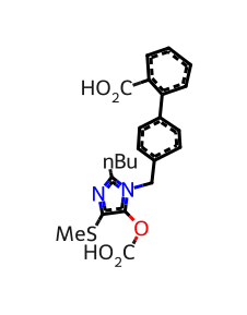 CCCCc1nc(SC)c(OC(=O)O)n1Cc1ccc(-c2ccccc2C(=O)O)cc1